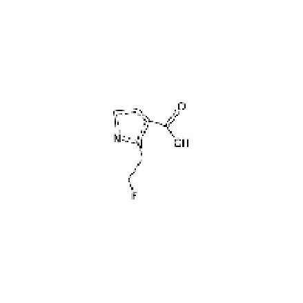 O=C(O)c1ccnn1CCF